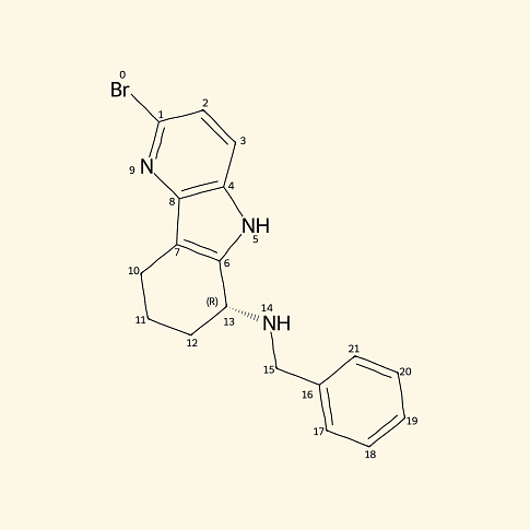 Brc1ccc2[nH]c3c(c2n1)CCC[C@H]3NCc1ccccc1